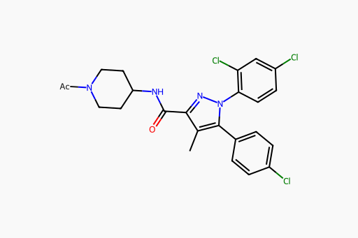 CC(=O)N1CCC(NC(=O)c2nn(-c3ccc(Cl)cc3Cl)c(-c3ccc(Cl)cc3)c2C)CC1